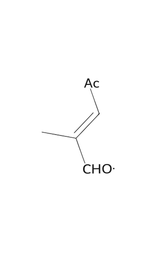 CC(=O)C=C(C)[C]=O